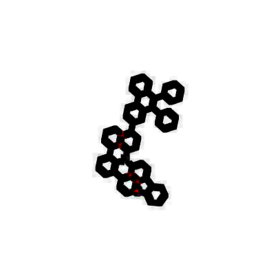 c1ccc(-c2cccc(-c3ccccc3)c2N(c2ccc(-c3ccc4c(c3)c(-c3ccccc3)c(-c3ccccc3)c3ccccc34)cc2)c2ccc3c(c2)oc2ccccc23)cc1